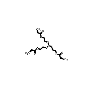 C=CC(=O)OCCSP(SCCOC(=O)C=C)SCCOC(=O)C=C